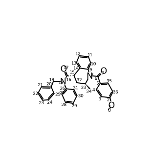 COc1ccc(C(=O)N2c3ccccc3[C@@H](C(=O)N(Cc3ccccc3)c3ccccc3)C[C@@H]2C)cc1